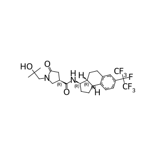 CC(C)(O)CN1C[C@H](C(=O)N[C@@H]2CC[C@H]3c4ccc(C(F)(C(F)(F)F)C(F)(F)F)cc4CC[C@@H]23)CC1=O